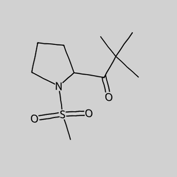 CC(C)(C)C(=O)C1CCCN1S(C)(=O)=O